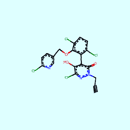 C#CCn1nc(Cl)c(O)c(-c2c(Cl)ccc(Cl)c2OCc2ccc(Cl)nc2)c1=O